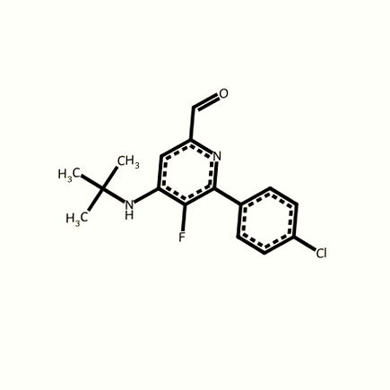 CC(C)(C)Nc1cc(C=O)nc(-c2ccc(Cl)cc2)c1F